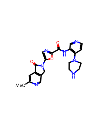 COc1cc2c(cn1)CN(c1cnc(C(=O)Nc3cnccc3N3CCNCC3)o1)C2=O